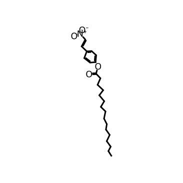 CCCCCCCCCCCCCCCC(=O)Oc1ccc(/C=C/[N+](=O)[O-])cc1